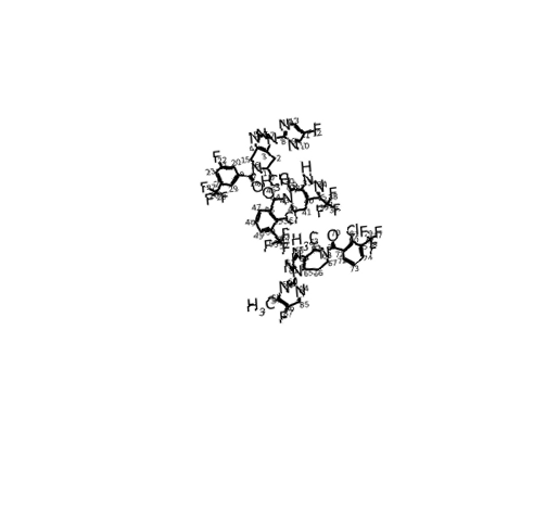 CC1Cc2c(nnn2-c2ncc(F)cn2)CN1C(=O)c1cc(F)cc(C(F)(F)F)c1.C[C@H]1c2[nH]nc(C(F)(F)F)c2CCN1C(=O)c1cccc(C(F)(F)F)c1Cl.Cc1nc(-n2nnc3c2CCN(C(=O)c2cccc(C(F)(F)F)c2Cl)[C@H]3C)ncc1F